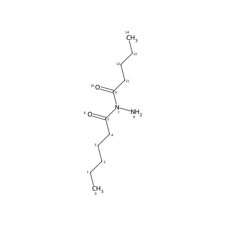 CCCCCC(=O)N(N)C(=O)CCCC